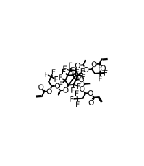 C=CC(=O)OC(CC(F)(F)F)OC(C)OC12C(F)(F)C3(F)C(F)(F)C(OC(C)OC(CC(F)(F)F)OC(=O)C=C)(C1(F)F)C(F)(F)C(OC(C)OC(CC(F)(F)F)OC(=O)C=C)(C3(F)F)C2(F)F